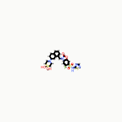 O=c1oc2cc(S(=O)(=O)Nc3ncns3)c(F)cc2n1Cc1cccc2c1CC(N1CCS(O)(O)CC1)CC2